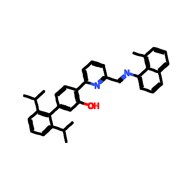 Cc1cccc2cccc(/N=C/c3cccc(-c4ccc(-c5c(C(C)C)cccc5C(C)C)cc4O)n3)c12